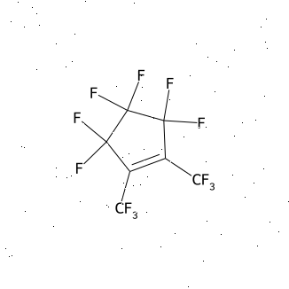 FC(F)(F)C1=C(C(F)(F)F)C(F)(F)C(F)(F)C1(F)F